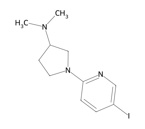 CN(C)C1CCN(c2ccc(I)cn2)C1